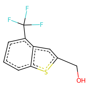 OCc1cc2c(C(F)(F)F)cccc2s1